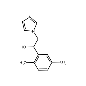 Cc1ccc(C)c(C(O)Cn2ccnc2)c1